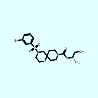 CCc1cccc(S(=O)(=O)N2CCOC3(CCN(C(=O)O[C@H](CO)C(F)(F)F)CC3)C2)c1